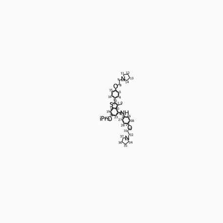 Cc1c(-c2ccc(OCCN3CCCC3)cc2)sc2cc(OC(C)C)cc(Nc3ccc(OCCN4CCCC4)cc3)c12